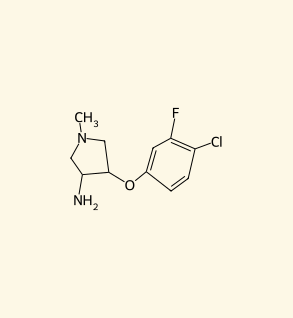 CN1CC(N)C(Oc2ccc(Cl)c(F)c2)C1